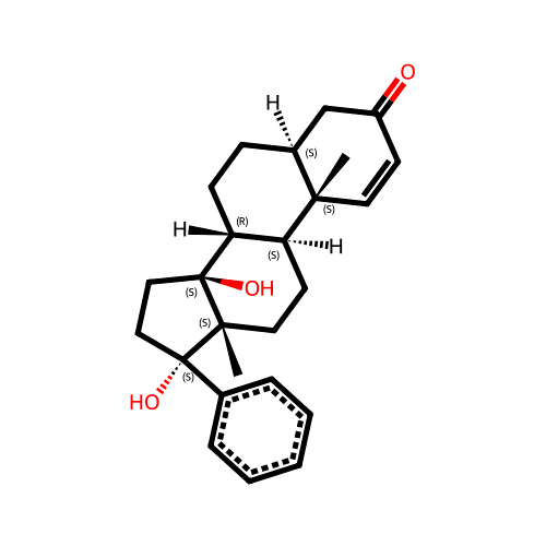 C[C@]12C=CC(=O)C[C@@H]1CC[C@@H]1[C@@H]2CC[C@]2(C)[C@@](O)(c3ccccc3)CC[C@]12O